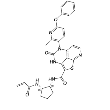 C=CC(=O)N[C@H]1CCC[C@H]1NC(=O)c1sc2nccc3c2c1NC(=O)N3c1ccc(Oc2ccccc2)nc1C